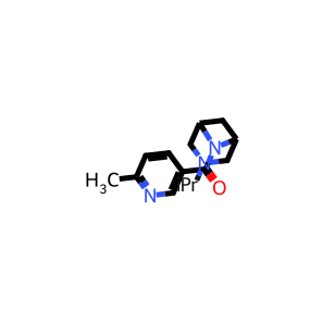 Cc1ccc(C(=O)N2C3CC2CN(C(C)C)C3)cn1